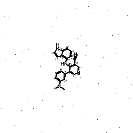 CN(C)c1cccc(-c2cncc(C#N)c2Nc2cccc3[nH]ccc23)c1